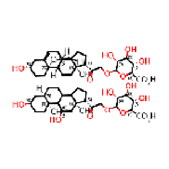 C[C@]12CC[C@H]3[C@@H](CC=C4C[C@@H](O)CC[C@@]43C)[C@@H]1CC[C@@H]2C(=O)COC1O[C@H](C(=O)O)[C@@H](O)[C@H](O)[C@H]1O.C[C@]12C[C@@H](O)C3C(CC[C@@H]4C[C@H](O)CC[C@]34C)C1CC[C@@H]2C(=O)COC1O[C@H](C(=O)O)[C@@H](O)[C@H](O)[C@H]1O